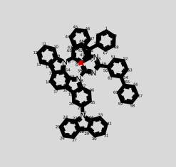 c1ccc(-c2ccc(-n3c4ccccc4c4ccc5c6cc(-n7c8ccccc8c8ccccc87)ccc6n(-c6nc(-c7ccccc7)nc(-c7cccc(-c8ccccc8)c7)n6)c5c43)cc2)cc1